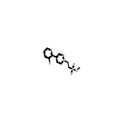 COS(=O)(=O)CC[n+]1ccc(-c2ncccc2F)cn1